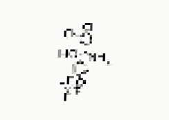 N[C@@H](c1ccc(Cl)c(Cl)c1)[C@H](O)c1ccc(OC(F)(F)C(F)F)cc1